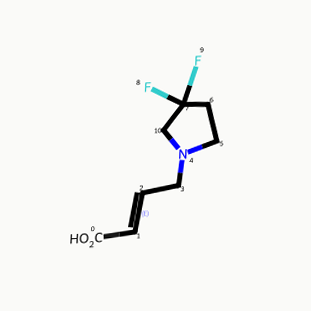 O=C(O)/C=C/CN1CCC(F)(F)C1